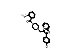 Cc1ccccc1C(=O)N1CCN(Cc2c(-c3ccc(Cl)cc3)nc3ccccn23)CC1